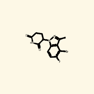 Cc1nn(C2CCC(=O)NC2=O)c2ccc(F)c(Br)c12